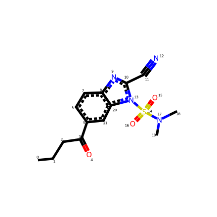 CCCC(=O)c1ccc2nc(C#N)n(S(=O)(=O)N(C)C)c2c1